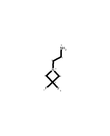 NCCN1CC(F)(F)C1